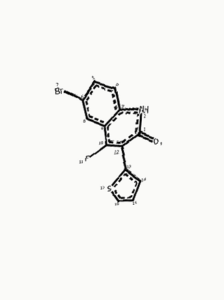 O=c1[nH]c2ccc(Br)cc2c(F)c1-c1cccs1